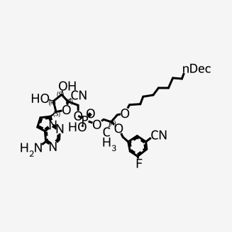 CCCCCCCCCCCCCCCCCCOC[C@](C)(COP(=O)(O)OC[C@@]1(C#N)O[C@@H](c2ccc3c(N)ncnn23)[C@H](O)[C@@H]1O)OCc1cc(F)cc(C#N)c1